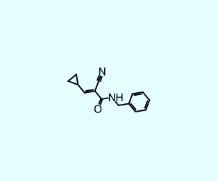 N#C/C(=C\C1CC1)C(=O)NCc1ccccc1